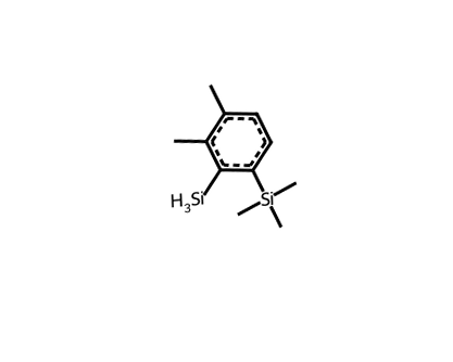 Cc1ccc([Si](C)(C)C)c([SiH3])c1C